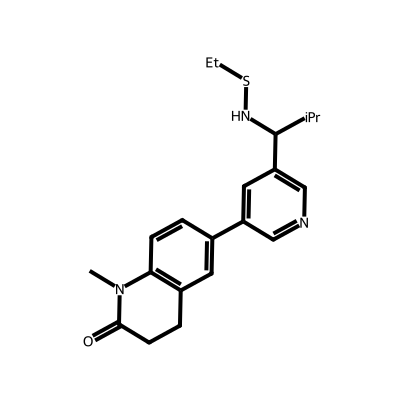 CCSNC(c1cncc(-c2ccc3c(c2)CCC(=O)N3C)c1)C(C)C